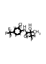 CC(O)(C(=O)Nc1ccc(C(F)(F)F)cc1Cl)C(F)(F)F